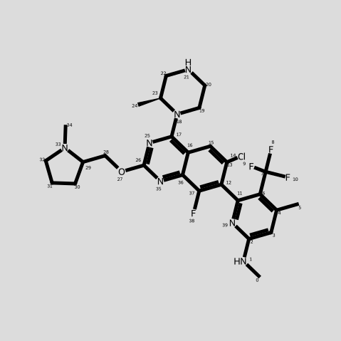 CNc1cc(C)c(C(F)(F)F)c(-c2c(Cl)cc3c(N4CCNC[C@@H]4C)nc(OCC4CCCN4C)nc3c2F)n1